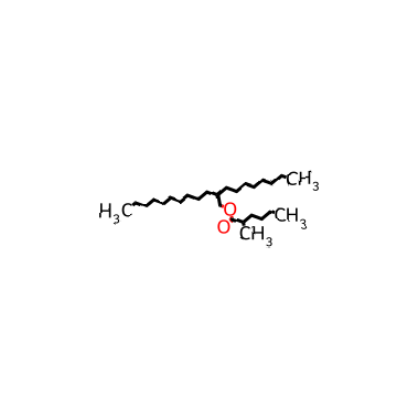 CCCCCCCCCCC(CCCCCCCC)COC(=O)C(C)CCCC